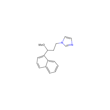 COC(CCn1ccnc1)c1cccc2ccccc12